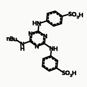 CCCCNc1nc(Nc2ccc(S(=O)(=O)O)cc2)nc(Nc2cccc(S(=O)(=O)O)c2)n1